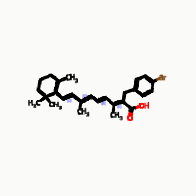 CC1=C(/C=C/C(C)=C/C=C/C(C)=C(\Cc2ccc(Br)cc2)C(=O)O)C(C)(C)CCC1